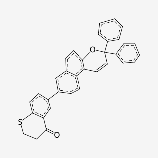 O=C1CCSc2ccc(-c3ccc4c5c(ccc4c3)OC(c3ccccc3)(c3ccccc3)C=C5)cc21